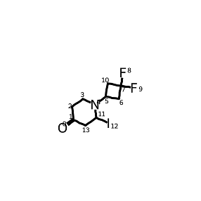 O=C1CCN(C2CC(F)(F)C2)C(I)C1